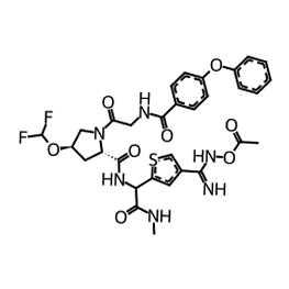 CNC(=O)C(NC(=O)[C@@H]1C[C@@H](OC(F)F)CN1C(=O)CNC(=O)c1ccc(Oc2ccccc2)cc1)c1cc(C(=N)NOC(C)=O)cs1